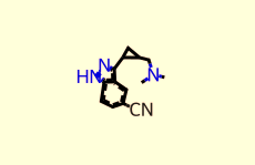 CN(C)CC1CC1c1n[nH]c2ccc(C#N)cc12